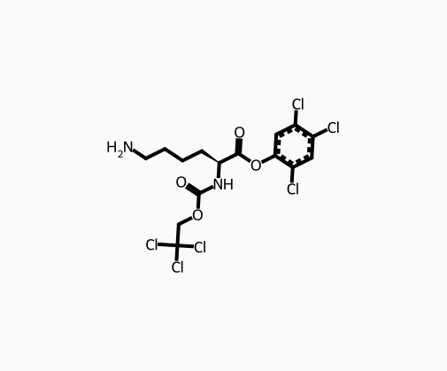 NCCCC[C@H](NC(=O)OCC(Cl)(Cl)Cl)C(=O)Oc1cc(Cl)c(Cl)cc1Cl